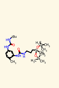 Cc1ccc(NC(=O)NC(C)(C)C)cc1NC(=O)NCCC[Si](C)(O[Si](C)(C)C)O[Si](C)(C)C